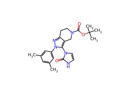 Cc1cc(C)cc(-n2nc3c(c2-n2cc[nH]c2=O)CN(C(=O)OC(C)(C)C)CC3)c1